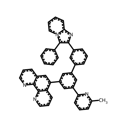 Cc1cccc(-c2cc(-c3cccc(-c4nc5ccccn5c4-c4ccccc4)c3)cc(-c3cc4cccnc4c4ncccc34)c2)n1